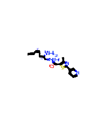 C=C/C=C\C=C(/N)CNC(=O)c1sc(-c2cccnc2)nc1C